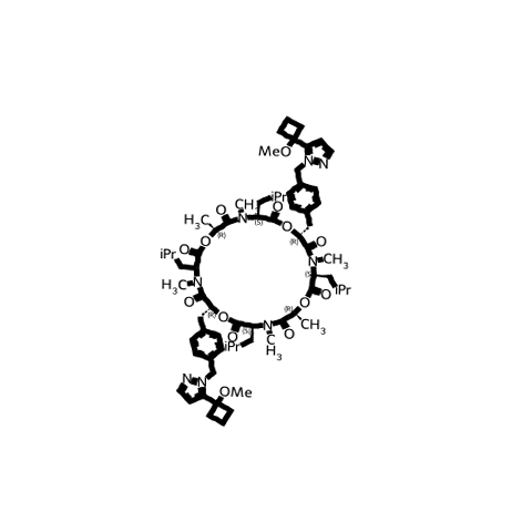 COC1(c2ccnn2Cc2ccc(C[C@H]3OC(=O)[C@H](CC(C)C)N(C)C(=O)[C@@H](C)OC(=O)[C@H](CC(C)C)N(C)C(=O)[C@@H](Cc4ccc(Cn5nccc5C5(OC)CCC5)cc4)OC(=O)[C@H](CC(C)C)N(C)C(=O)[C@@H](C)OC(=O)C(CC(C)C)N(C)C3=O)cc2)CCC1